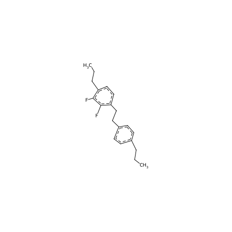 CCCc1ccc(CCc2ccc(CCC)c(F)c2F)cc1